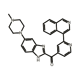 CN1CCN(c2ccc3[nH]c(C(=O)c4ccnc(-c5cncc6ccccc56)c4)nc3c2)CC1